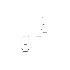 CC(C)(C)OC(=O)NC1CCCCC1CCC1NCCc2cc(Br)ccc21